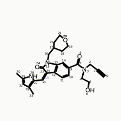 C#CCN(CCO)C(=O)c1ccc2c(c1)N(CC1CCOCC1)C(=O)/C2=C\c1[nH]c(C)cc1C